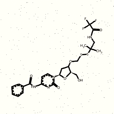 CC(C)(CNC(=O)C(F)(F)F)SSCOC1C[C@H](n2ccc(NC(=O)c3ccccc3)nc2=O)O[C@@H]1CO